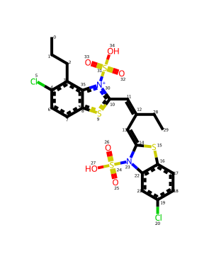 CCCc1c(Cl)ccc2sc(C=C(C=C3Sc4ccc(Cl)cc4N3S(=O)(=O)O)CC)[n+](S(=O)(=O)O)c12